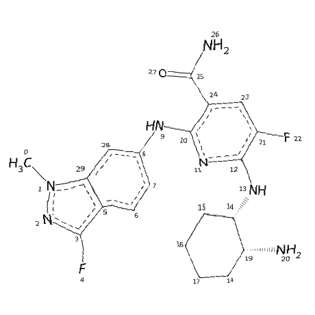 Cn1nc(F)c2ccc(Nc3nc(N[C@H]4CCCC[C@H]4N)c(F)cc3C(N)=O)cc21